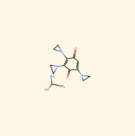 CC(N)O.O=C1C=C(N2CC2)C(=O)C(N2CC2)=C1N1CC1